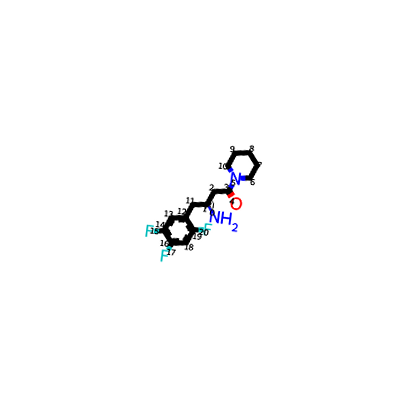 N[C@@H](CC(=O)N1CCCCC1)Cc1cc(F)c(F)cc1F